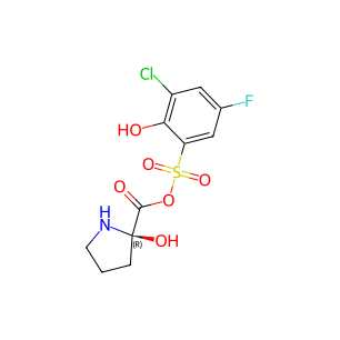 O=C(OS(=O)(=O)c1cc(F)cc(Cl)c1O)[C@]1(O)CCCN1